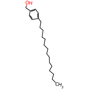 CCCCCCCCCCCCCCCc1ccc(CO)cc1